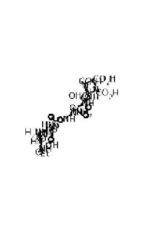 CCC(=O)NCCNC(=O)/N=C(/N)NCCC[C@@H](NC(=O)[C@@H](c1ccccc1)c1ccc(NCCCNC(=O)[C@H](N)CCCNC(=O)[C@@H](Cc2ccc(-c3ccccc3)cc2)NC(C=O)N2CCN(CC(=O)O)CCN(CC(=O)O)CCN(CC(=O)O)CC2)cc1)C(=O)NCc1ccc(O)cc1